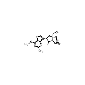 COc1nc(N)nc2c1ncn2[C@@H]1O[C@@](CO)(N=[N+]=[N-])[C@@H](O)[C@H]1F